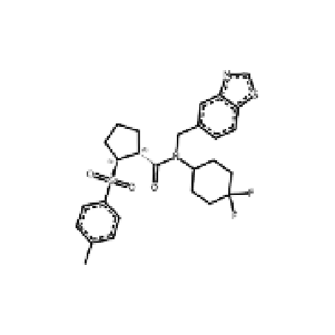 Cc1ccc(S(=O)(=O)[C@H]2CCC[C@@H]2C(=O)N(Cc2ccc3scnc3c2)C2CCC(F)(F)CC2)cc1